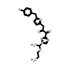 CCCOC(C)n1cnc(C(=O)C(=O)Cc2ccc(Cc3ccc(F)cc3)o2)n1